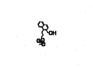 CS(=O)(=O)OCCCc1c(CO)ccc2ccccc12